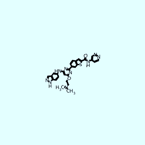 CN(C)CCOc1cc(Nc2ccc3[nH]ncc3c2)nc(-c2ccc3cc(C(=O)Nc4ccnnc4)sc3c2)n1